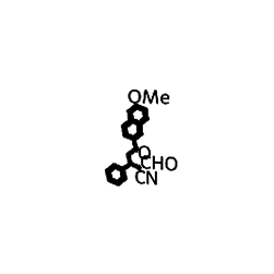 COc1ccc2cc(C(=O)CC(c3ccccc3)C(C#N)C=O)ccc2c1